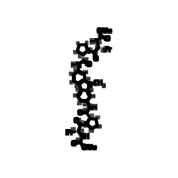 COC(=O)N[C@@H](C(=O)N1CCC[C@H]1C(=O)Nc1ccc2c3ccc(NC(=O)[C@@H]4CCCN4C(=O)[C@H](NC(=O)OC)C(C)C)cc3n(C)c2c1)C(C)C